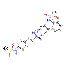 CS(=O)(=O)Nc1ccc(C=Cc2nc3cc(-c4ccccc4NS(C)(=O)=O)ccc3[nH]2)cc1